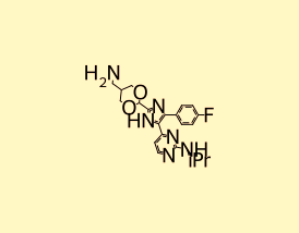 CC(C)Nc1nccc(-c2[nH]c(C3OCC(CN)CO3)nc2-c2ccc(F)cc2)n1